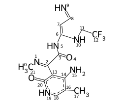 C/N=C(/C(=O)N/C(=C/C=N)NCC(F)(F)F)c1c(N)c(C)c[nH]c1=O